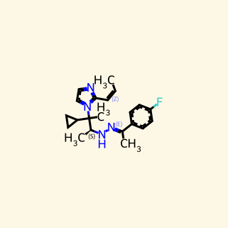 C/C=C\c1nccn1C(C)(C1CC1)[C@H](C)N/N=C(\C)c1ccc(F)cc1